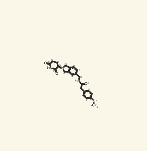 O=C(Cc1ccc(SC(F)(F)F)cc1)NCc1ccc2c(c1)CN(C1CCC(=O)NC1=O)C2